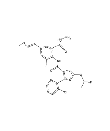 CON=Cc1cc(C)c(NC(=O)c2cc(OC(F)F)nn2-c2ncccc2Cl)c(C(=O)NN)c1